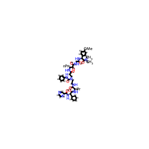 CCC[C@H](NC(=O)CCN(CCNC(=O)[C@@H](NC(=O)[C@@H](NC(=O)c1cnccn1)C1CCCCC1)C(C)C)C(=O)Nc1ccccc1)C(=O)C(=O)NCC(=O)N[C@H](C(=O)N(C)C)c1ccc(OC)cc1